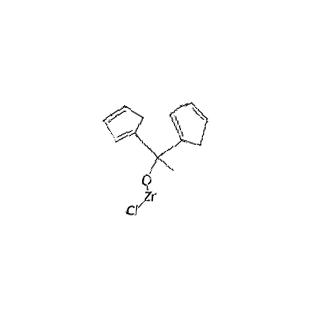 CC([O][Zr][Cl])(C1=CC=CC1)C1=CC=CC1